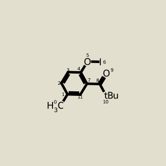 Cc1ccc(OI)c(C(=O)C(C)(C)C)c1